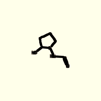 O=[C]NN1CCCC1O